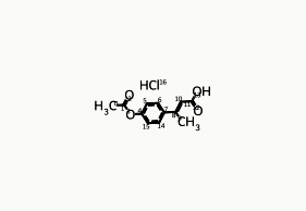 CC(=O)Oc1ccc(C(C)=CC(=O)O)cc1.Cl